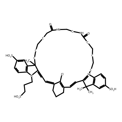 CC1(C)C2=[N+](CCCCCC(=O)NCCNC(=O)CCCCCC3(C)/C(=C/C=C4\CCCC(=C4Cl)/C=C/2)N(CCCS(=O)(=O)O)c2ccc(S(=O)(=O)O)cc23)c2ccc(S(=O)(=O)O)cc21